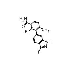 CCc1c(C(N)=O)ccc(C)c1-c1ccc2c(I)n[nH]c2c1